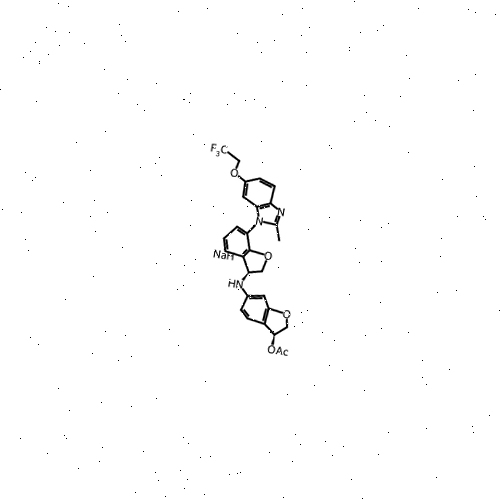 CC(=O)O[C@@H]1COc2cc(N[C@@H]3COc4c3cccc4-n3c(C)nc4ccc(OCC(F)(F)F)cc43)ccc21.[NaH]